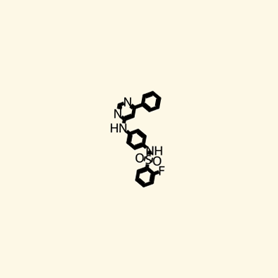 O=S(=O)(Nc1ccc(Nc2cc(-c3ccccc3)ncn2)cc1)c1ccccc1F